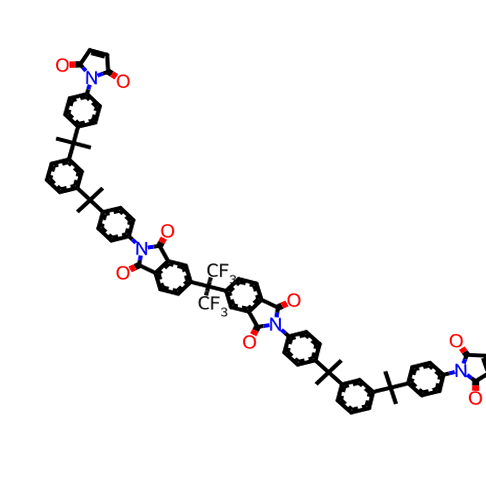 CC(C)(c1ccc(N2C(=O)C=CC2=O)cc1)c1cccc(C(C)(C)c2ccc(N3C(=O)c4ccc(C(c5ccc6c(c5)C(=O)N(c5ccc(C(C)(C)c7cccc(C(C)(C)c8ccc(N9C(=O)C=CC9=O)cc8)c7)cc5)C6=O)(C(F)(F)F)C(F)(F)F)cc4C3=O)cc2)c1